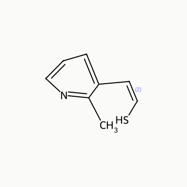 Cc1ncccc1/C=C\S